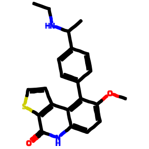 CCNC(C)c1ccc(-c2c(OC)ccc3[nH]c(=O)c4sccc4c23)cc1